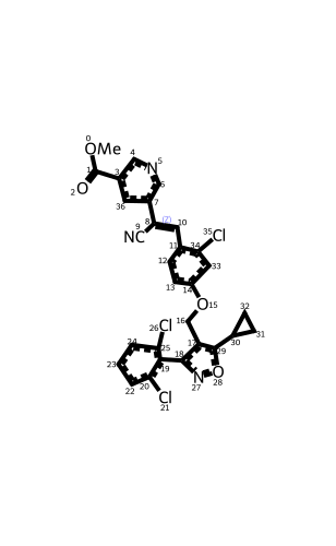 COC(=O)c1cncc(/C(C#N)=C/c2ccc(OCc3c(-c4c(Cl)cccc4Cl)noc3C3CC3)cc2Cl)c1